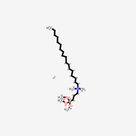 CCCCCCCCCCCCCCCCCC[N+](C)(C)CCC[Si](OC)(OC)OC.[I-]